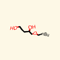 CCCCCOCC(O)CCO